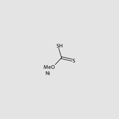 COC(=S)S.[Ni]